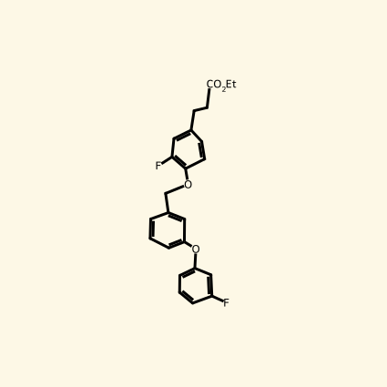 CCOC(=O)CCc1ccc(OCc2cccc(Oc3cccc(F)c3)c2)c(F)c1